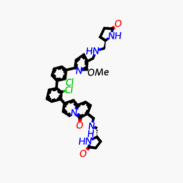 COc1nc(-c2cccc(-c3cccc(-c4ccn5c(=O)c(CNC[C@@H]6CCC(=O)N6)ccc5c4)c3Cl)c2Cl)ccc1CNC[C@H]1CCC(=O)N1